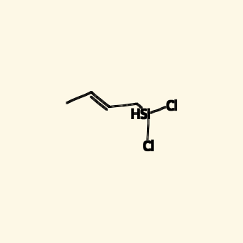 C/C=C/C[SiH](Cl)Cl